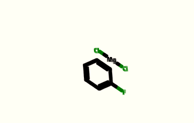 Fc1ccccc1.[Cl][Mg][Cl]